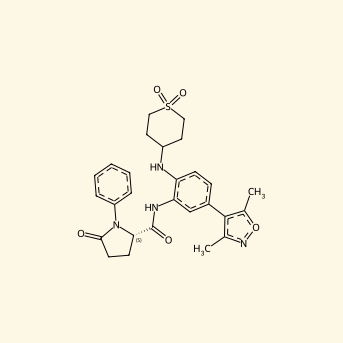 Cc1noc(C)c1-c1ccc(NC2CCS(=O)(=O)CC2)c(NC(=O)[C@@H]2CCC(=O)N2c2ccccc2)c1